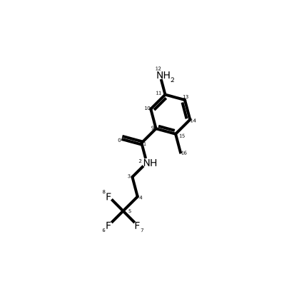 C=C(NCCC(F)(F)F)c1cc(N)ccc1C